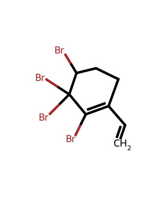 C=CC1=C(Br)C(Br)(Br)C(Br)CC1